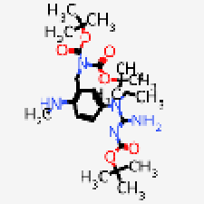 CCN(C(N)=NC(=O)OC(C)(C)C)c1ccc(NC)c(CN(C(=O)OC(C)(C)C)C(=O)OC(C)(C)C)c1